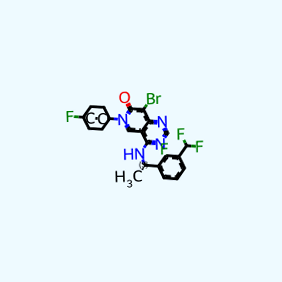 C[C@H](Nc1ncnc2c(Br)c(=O)n(C34CCC(F)(CC3)CC4)cc12)c1cccc(C(F)F)c1F